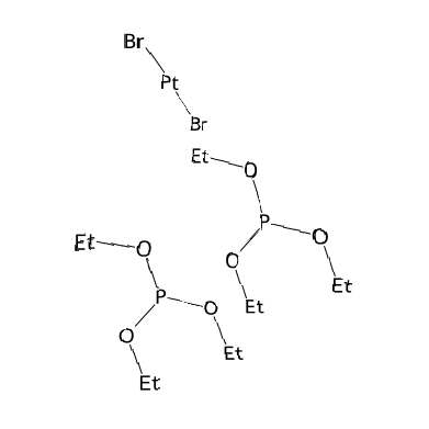 CCOP(OCC)OCC.CCOP(OCC)OCC.[Br][Pt][Br]